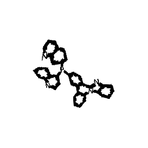 c1cnc2cc(P(c3ccc4c(c3)c3ccccc3n3c5ccccc5nc43)c3ccnc4ccccc34)ccc2c1